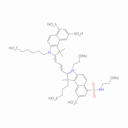 COCCNS(=O)(=O)c1cc(S(=O)(=O)O)cc2c3c(ccc12)[N+](CCOC)=C(/C=C/C=C1/N(CCCCCC(=O)O)c2ccc4c(S(=O)(=O)O)cc(S(=O)(=O)O)cc4c2C1(C)C)C3(C)CCCS(=O)(=O)O